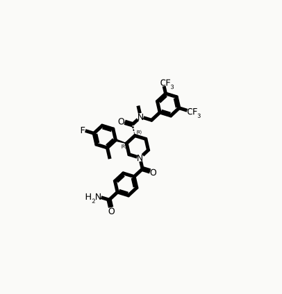 Cc1cc(F)ccc1[C@@H]1CN(C(=O)c2ccc(C(N)=O)cc2)CC[C@H]1C(=O)N(C)Cc1cc(C(F)(F)F)cc(C(F)(F)F)c1